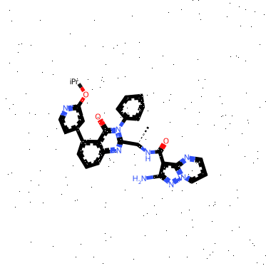 CC(C)Oc1cc(-c2cccc3nc([C@H](C)NC(=O)c4c(N)nn5cccnc45)n(-c4ccccc4)c(=O)c23)ccn1